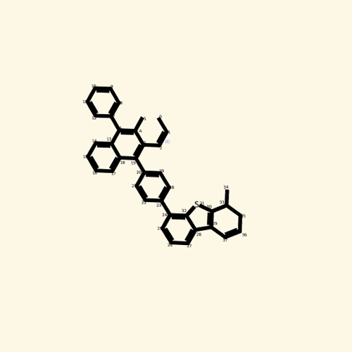 C/C=C\c1c(C)c(-c2ccccc2)c2ccccc2c1-c1ccc(-c2cccc3c4c(sc23)C(C)CC=C4)cc1